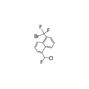 FC(Cl)c1cccc2c(C(F)(F)Br)cccc12